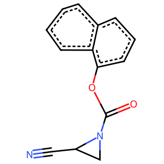 N#CC1CN1C(=O)Oc1cccc2ccccc12